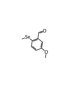 COc1ccc([Se]C)c(C=O)c1